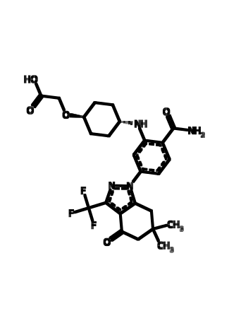 CC1(C)CC(=O)c2c(C(F)(F)F)nn(-c3ccc(C(N)=O)c(N[C@H]4CC[C@H](OCC(=O)O)CC4)c3)c2C1